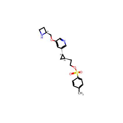 Cc1ccc(S(=O)(=O)OCC[C@H]2C[C@@H]2c2cncc(OC[C@@H]3CCN3)c2)cc1